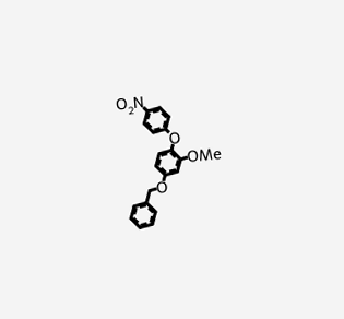 COc1cc(OCc2ccccc2)ccc1Oc1ccc([N+](=O)[O-])cc1